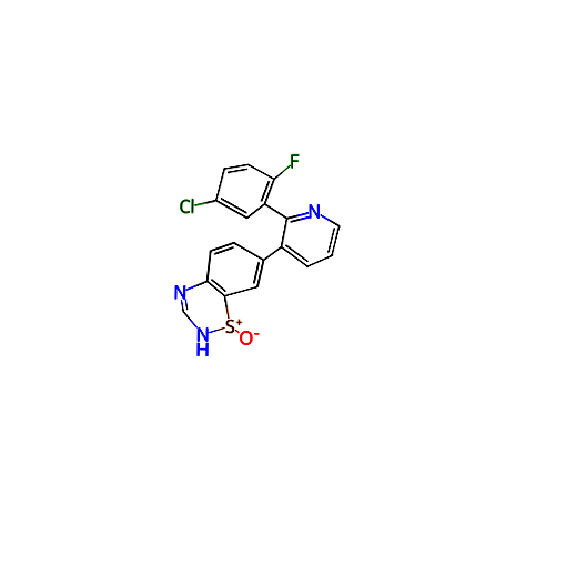 [O-][S+]1NC=Nc2ccc(-c3cccnc3-c3cc(Cl)ccc3F)cc21